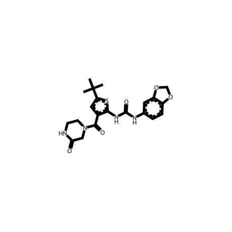 CC(C)(C)c1cc(C(=O)N2CCNC(=O)C2)c(NC(=O)Nc2ccc3c(c2)OCO3)s1